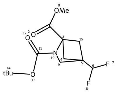 COC(=O)C12CC(C(F)F)(CN1C(=O)OC(C)(C)C)C2